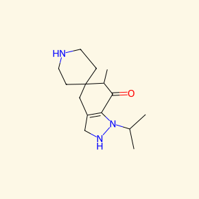 CC(C)N1NCC2=C1C(=O)C(C)C1(CCNCC1)C2